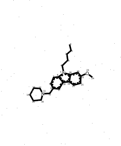 CCCCCn1c2ccc(CN3CCCCC3)cc2c2ccc(OC)cc21